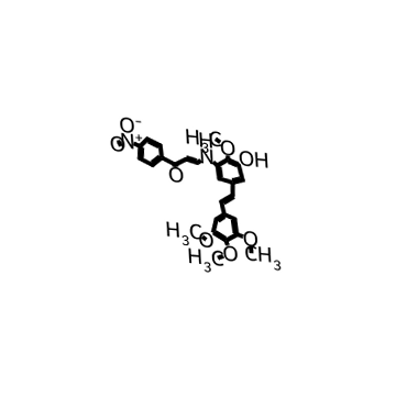 COc1cc(C=Cc2cc(O)c(OC)c(NC=CC(=O)c3ccc([N+](=O)[O-])cc3)c2)cc(OC)c1OC